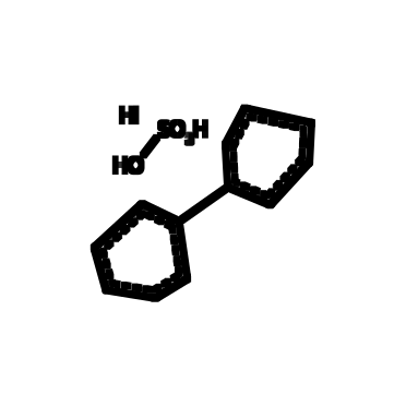 I.O=S(=O)(O)O.c1ccc(-c2ccccc2)cc1